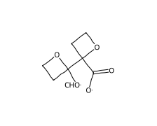 [O]C(=O)C1(C2([C]=O)CCO2)CCO1